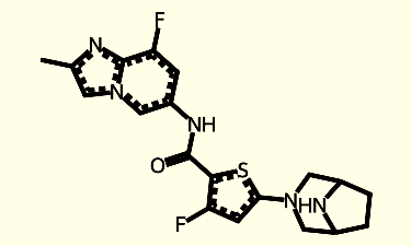 Cc1cn2cc(NC(=O)c3sc(N4CC5CCC(C4)N5)cc3F)cc(F)c2n1